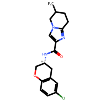 O=C(N[C@H]1COc2ccc(Cl)cc2C1)c1cn2c(n1)CCC(C(F)(F)F)C2